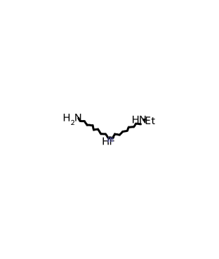 CCNCCCCCCCC/C=C\CCCCCCCCN.F